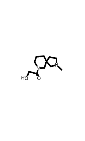 CN1CCC2(CCCN(C(=O)CO)C2)C1